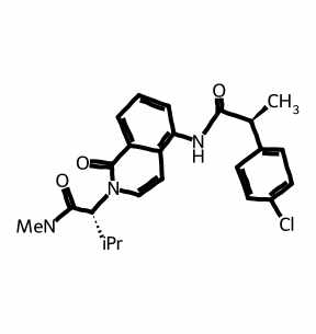 CNC(=O)[C@@H](C(C)C)n1ccc2c(NC(=O)[C@@H](C)c3ccc(Cl)cc3)cccc2c1=O